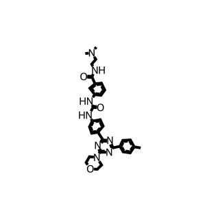 Cc1ccc(-c2nc(-c3ccc(NC(=O)Nc4cccc(C(=O)NCCN(C)C)c4)cc3)nc(N3CCOCC3)n2)cc1